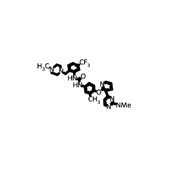 CNc1nccc(-c2cccnc2Oc2ccc(NC(=O)Nc3cc(C(F)(F)F)ccc3CN3CCN(C)CC3)cc2C)n1